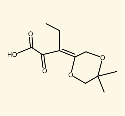 CCC(C(=O)C(=O)O)=C1COC(C)(C)CO1